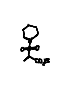 CCOC(=O)C(C)S(=O)(=O)N1CC[CH]CC1